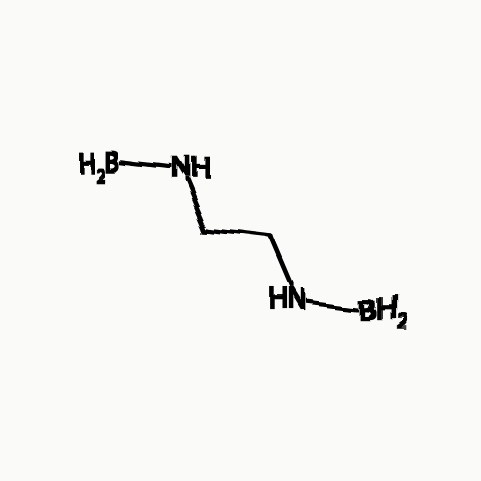 BNCCNB